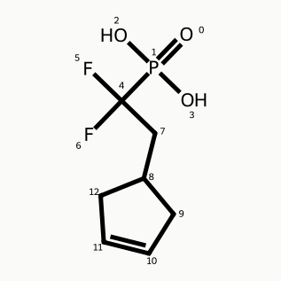 O=P(O)(O)C(F)(F)CC1CC=CC1